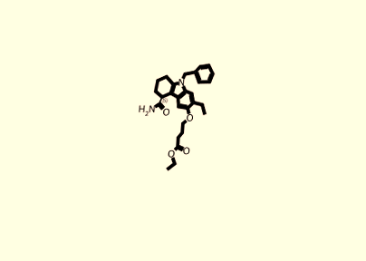 CCOC(=O)CCCOc1cc2c3c(n(Cc4ccccc4)c2cc1CC)CCC[C@@H]3C(N)=O